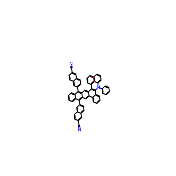 N#Cc1ccc2cc(-c3c4ccccc4c(-c4ccc5cc(C#N)ccc5c4)c4cc5c(cc34)c(-c3ccccc3)c(N(c3ccccc3)c3ccccc3)c3ccccc35)ccc2c1